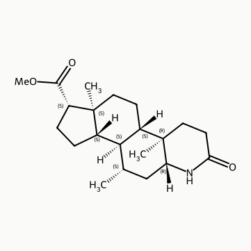 COC(=O)[C@H]1CC[C@H]2[C@@H]3[C@@H](C)C[C@H]4NC(=O)CC[C@]4(C)[C@H]3CC[C@]12C